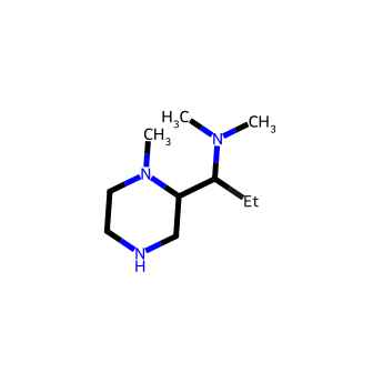 CCC(C1CNCCN1C)N(C)C